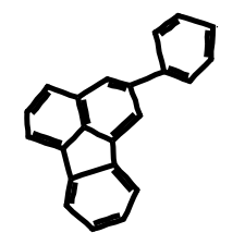 [c]1ccc(-c2cc3c4c(cccc4c2)-c2ccccc2-3)cc1